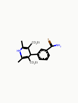 CCOC(=O)C1=C(C)NC(C)=C(C(=O)OCC)C1c1cccc(C(N)=S)c1